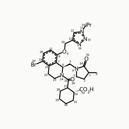 CC1CCN(C[C@@H]2c3c(OCc4cn(C(C)C)nn4)ccc(Br)c3CCN2C(=O)C2CCCC[C@H]2C(=O)O)C1=O